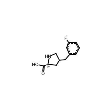 O=C(O)[C@@H]1CC(Cc2cccc(F)c2)CN1